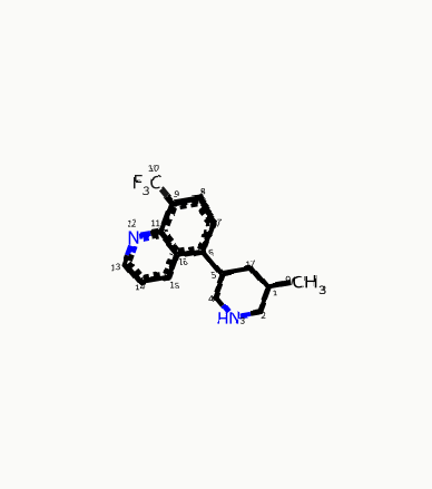 CC1CNCC(c2ccc(C(F)(F)F)c3ncccc23)C1